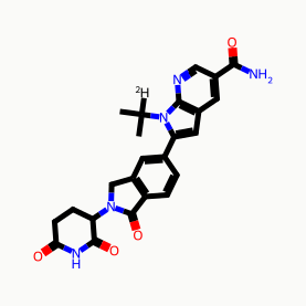 [2H]C(C)(C)n1c(-c2ccc3c(c2)CN(C2CCC(=O)NC2=O)C3=O)cc2cc(C(N)=O)cnc21